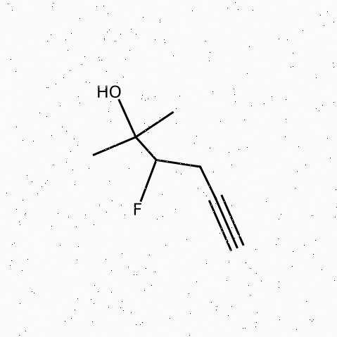 C#CCC(F)C(C)(C)O